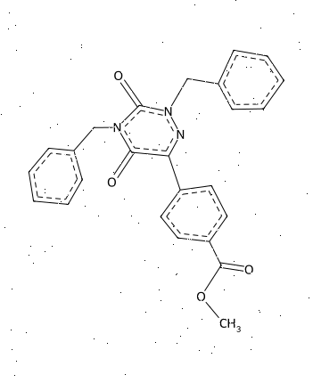 COC(=O)c1ccc(-c2nn(Cc3ccccc3)c(=O)n(Cc3ccccc3)c2=O)cc1